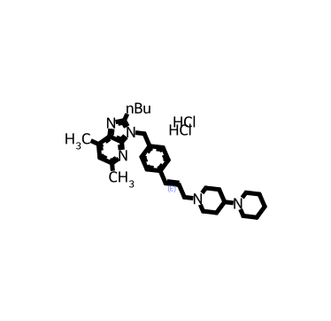 CCCCc1nc2c(C)cc(C)nc2n1Cc1ccc(/C=C/CN2CCC(N3CCCCC3)CC2)cc1.Cl.Cl